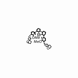 COc1nc(-c2cccc(-c3cccc(-c4ccc(CN5CC6(CCCO6)C5)c(OC)n4)c3Cl)c2Cl)ccc1CN1CC2(CCCO2)C1